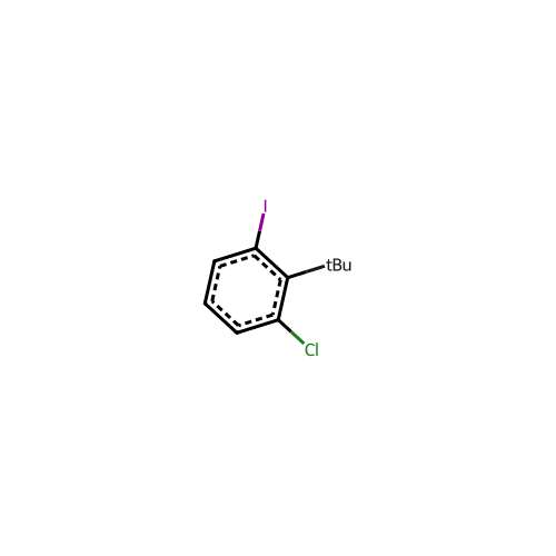 CC(C)(C)c1c(Cl)cccc1I